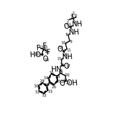 CC(C)(C)NC(=O)NCCCCC(=O)NCC(=O)NC(CC(=O)O)c1ccc(-c2ccccc2)cc1.O=C(O)C(F)(F)F